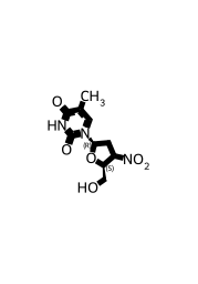 Cc1cn([C@H]2CC([N+](=O)[O-])[C@@H](CO)O2)c(=O)[nH]c1=O